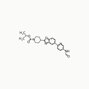 CC(C)OC(=O)N1CCC(c2nc3cc(-c4ccc(NC=O)cn4)ccc3o2)CC1